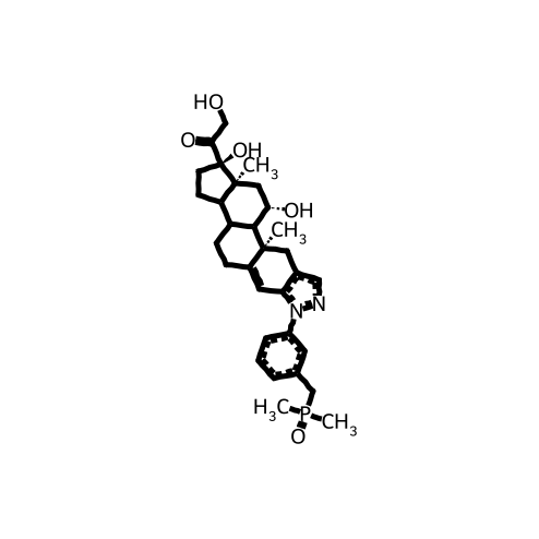 C[C@]12Cc3cnn(-c4cccc(CP(C)(C)=O)c4)c3C=C1CCC1C2[C@@H](O)C[C@@]2(C)C1CC[C@]2(O)C(=O)CO